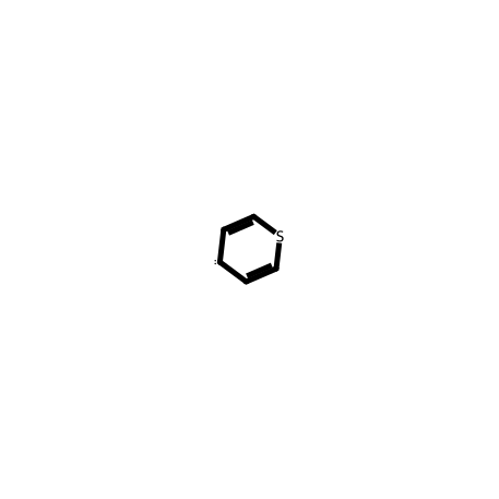 [C]1C=CSC=C1